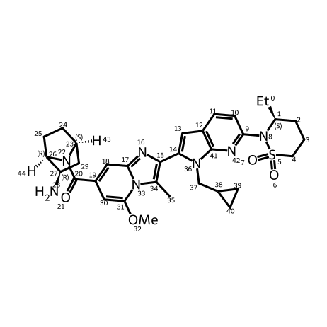 CC[C@H]1CCCS(=O)(=O)N1c1ccc2cc(-c3nc4cc(C(=O)N5[C@H]6CC[C@@H]5[C@H](N)C6)cc(OC)n4c3C)n(CC3CC3)c2n1